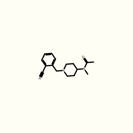 CC(=O)N(C)C1CCN(Cc2ccccc2C#N)CC1